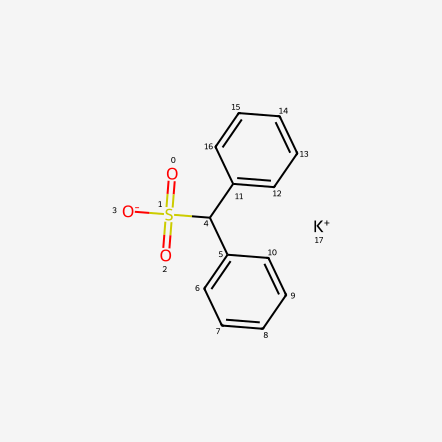 O=S(=O)([O-])C(c1ccccc1)c1ccccc1.[K+]